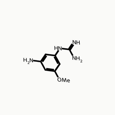 COc1cc(N)cc(NC(=N)N)c1